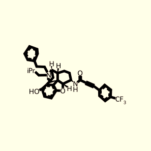 CC(C)C[N+]1(CCc2ccccc2)CC[C@@]23c4c5ccc(O)c4C[C@@H]1[C@@H]2CC[C@H](NC(=O)C#Cc1ccc(C(F)(F)F)cc1)[C@@H]3O5